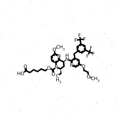 CC[C@@H]1C[C@H](Nc2ncc(OCCOC)cc2Cc2cc(C(F)(F)F)cc(C(F)(F)F)c2)c2nc(OC)ccc2N1C(=O)OCCCCCC(=O)O